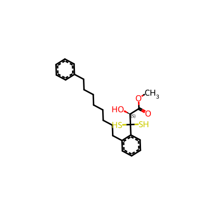 COC(=O)[C@H](O)C(S)(S)c1ccccc1CCCCCCCCc1ccccc1